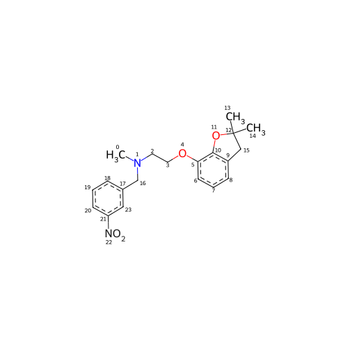 CN(CCOc1cccc2c1OC(C)(C)C2)Cc1cccc([N+](=O)[O-])c1